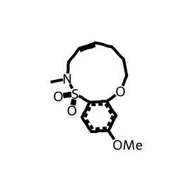 COc1ccc2c(c1)OCCCC=CCN(C)S2(=O)=O